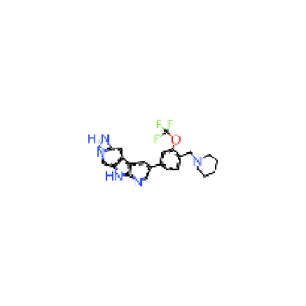 Nc1cc2c(cn1)[nH]c1ncc(-c3ccc(CN4CCCCC4)c(OC(F)(F)F)c3)cc12